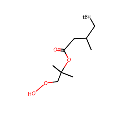 CC(CC(=O)OC(C)(C)COO)CC(C)(C)C